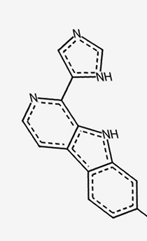 Fc1ccc2c(c1)[nH]c1c(-c3cnc[nH]3)nccc12